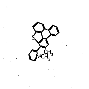 Cc1cc2c3ccccc3c3cccc4sc(c1-c1cccc[n+]1C)c2c43